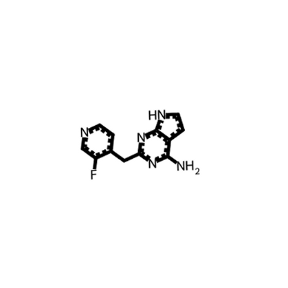 Nc1nc(Cc2ccncc2F)nc2[nH]ccc12